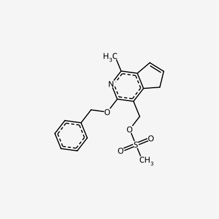 Cc1nc(OCc2ccccc2)c(COS(C)(=O)=O)c2c1C=CC2